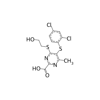 Cc1nc(C(=O)O)nc(SCCO)c1Sc1ccc(Cl)cc1Cl